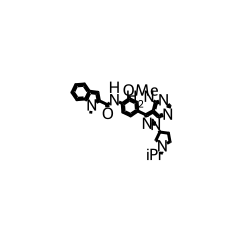 COc1cc(-c2nn(C3CCN(C(C)C)C3)c3ncnc(N)c23)ccc1NC(=O)c1cc2ccccc2n1C